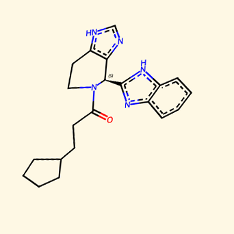 O=C(CCC1CCCC1)N1CCc2[nH]cnc2[C@H]1c1nc2ccccc2[nH]1